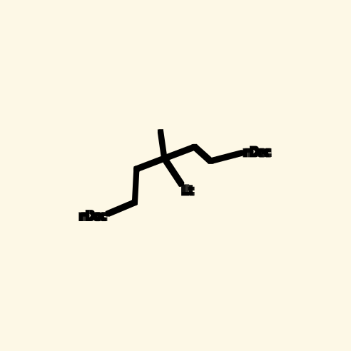 CCCCCCCCCCCCC(C)(CC)CCCCCCCCCCCC